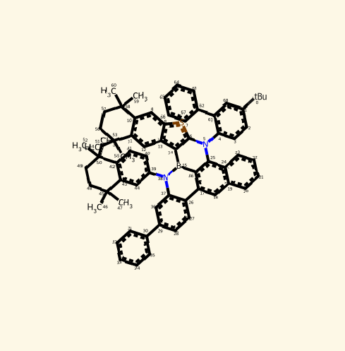 CC(C)(C)c1ccc(N2c3sc4cc5c(cc4c3B3c4c(cc6ccccc6c42)-c2ccc(-c4ccccc4)cc2N3c2ccc3c(c2)C(C)(C)CCC3(C)C)C(C)(C)CCC5(C)C)c(-c2ccccc2)c1